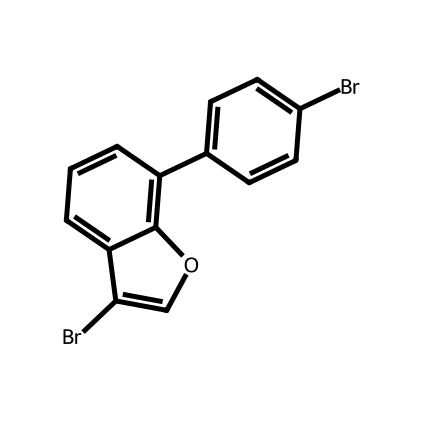 Brc1ccc(-c2cccc3c(Br)coc23)cc1